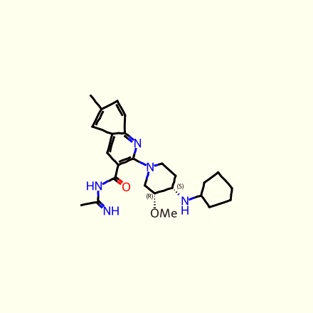 CO[C@@H]1CN(c2nc3ccc(C)cc3cc2C(=O)NC(C)=N)CC[C@@H]1NC1CCCCC1